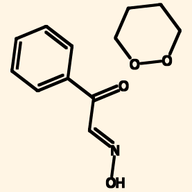 C1CCOOC1.O=C(C=NO)c1ccccc1